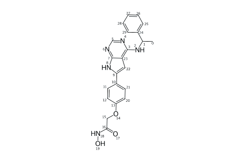 CC(Nc1ncnc2[nH]c(-c3ccc(OCC(=O)NO)cc3)cc12)c1ccccc1